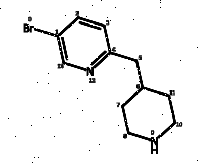 Brc1ccc(CC2CCNCC2)nc1